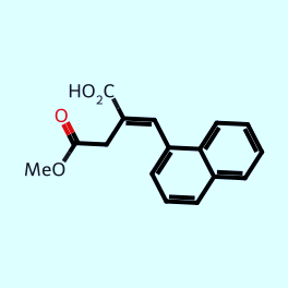 COC(=O)CC(=Cc1cccc2ccccc12)C(=O)O